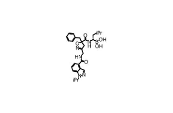 CC(C)C[C@H](NC(=O)C1(Cc2ccccc2)CC(CNC(=O)c2cccc3c2cnn3C(C)C)=NO1)B(O)O